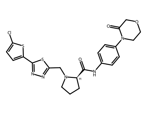 O=C(Nc1ccc(N2CCOCC2=O)cc1)[C@H]1CCCN1Cc1nnc(-c2ccc(Cl)s2)s1